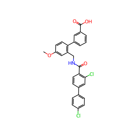 COc1ccc(-c2cccc(C(=O)O)c2)c(CNC(=O)c2ccc(-c3ccc(Cl)cc3)cc2Cl)c1